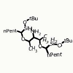 CCCCCC(OC(C)C(N)C(C)OC(CCCCC)[SiH2]OC(C)(C)C)[SiH2]OC(C)(C)C